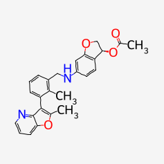 CC(=O)O[C@@H]1COc2cc(NCc3cccc(-c4c(C)oc5cccnc45)c3C)ccc21